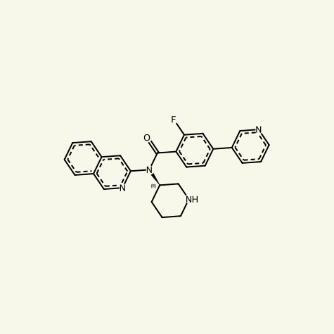 O=C(c1ccc(-c2cccnc2)cc1F)N(c1cc2ccccc2cn1)[C@@H]1CCCNC1